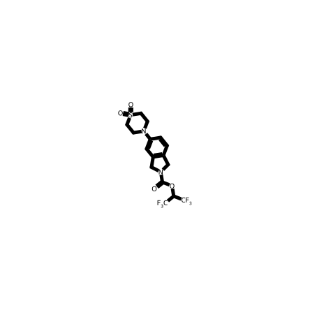 O=C(OC(C(F)(F)F)C(F)(F)F)N1Cc2ccc(N3CCS(=O)(=O)CC3)cc2C1